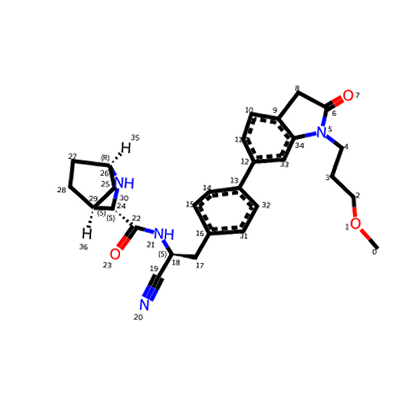 COCCCN1C(=O)Cc2ccc(-c3ccc(C[C@@H](C#N)NC(=O)[C@H]4N[C@@H]5CC[C@H]4C5)cc3)cc21